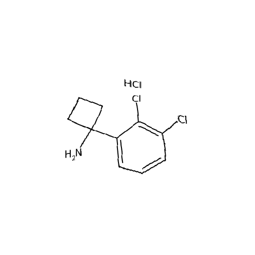 Cl.NC1(c2cccc(Cl)c2Cl)CCC1